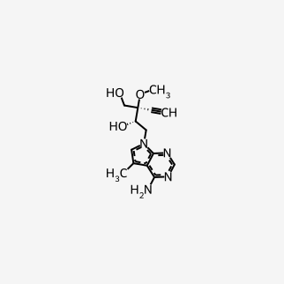 C#C[C@](CO)(OC)[C@@H](O)Cn1cc(C)c2c(N)ncnc21